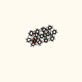 C1=CC(N(c2ccccc2)c2cc3c4c(n2)N(c2ccccc2-c2ccccc2)c2cc5c(cc2B4c2ccccc2N3c2ccccc2)B2c3cnccc3N(c3ccccc3)c3nc(N(c4ccccc4)c4ccccc4)cc(c32)N5c2ccccc2)=CCC1